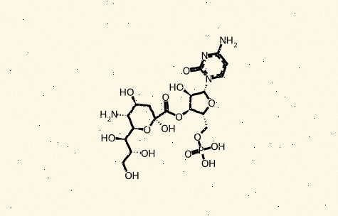 Nc1ccn([C@@H]2O[C@H](COP(=O)(O)O)[C@@H](OC(=O)[C@]3(O)C[C@H](O)[C@@H](N)[C@H]([C@H](O)[C@H](O)CO)O3)[C@H]2O)c(=O)n1